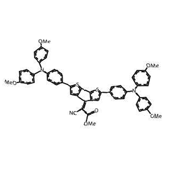 COC(=O)C(C#N)=C1c2cc(-c3ccc(N(c4ccc(OC)cc4)c4ccc(OC)cc4)cc3)sc2-c2sc(-c3ccc(N(c4ccc(OC)cc4)c4ccc(OC)cc4)cc3)cc21